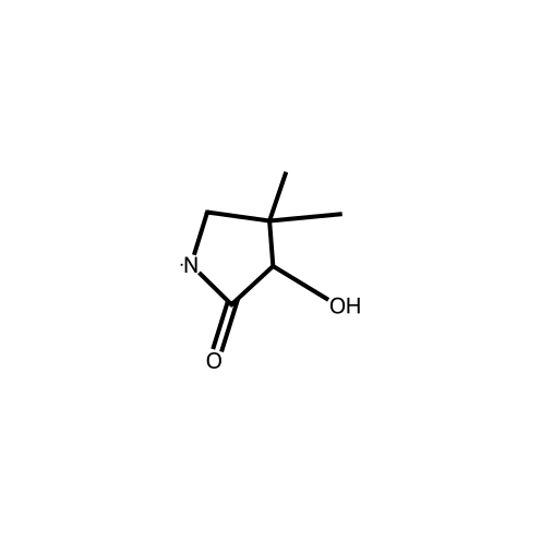 CC1(C)C[N]C(=O)C1O